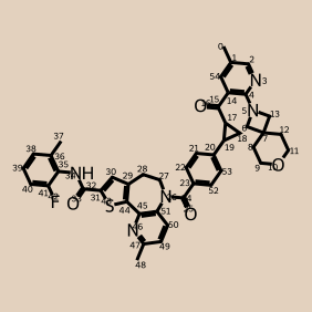 Cc1cnc(N2CC3(CCOCC3)C2)c(C(=O)C2CC2c2ccc(C(=O)N3CCc4cc(C(=O)Nc5c(C)cccc5F)sc4-c4nc(C)ccc43)cc2)c1